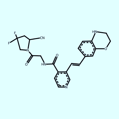 N#CC1CC(F)(F)CN1C(=O)CNC(=O)c1ccncc1C=Cc1ccc2c(c1)OCCN2